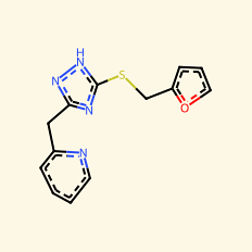 c1ccc(Cc2n[nH]c(SCc3ccco3)n2)nc1